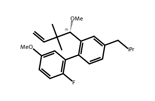 C=CC(C)(C)[C@H](OC)c1cc(CC(C)C)ccc1-c1cc(OC)ccc1F